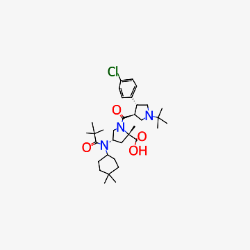 CC1(C)CCC(N(C(=O)C(C)(C)C)[C@@H]2CN(C(=O)[C@@H]3CN(C(C)(C)C)C[C@H]3c3ccc(Cl)cc3)[C@](C)(C(=O)O)C2)CC1